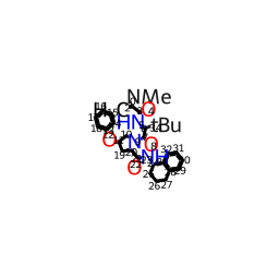 CNC(C)C(=O)NC(C(=O)N1CC(Oc2ccccc2)CC1C(=O)NC1CCCc2ccccc21)C(C)(C)C